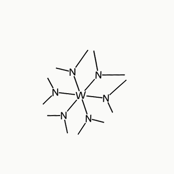 C[N](C)[W]([N](C)C)([N](C)C)([N](C)C)([N](C)C)[N](C)C